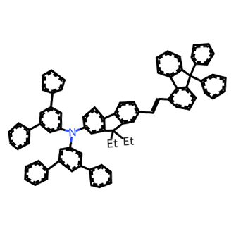 CCC1(CC)c2cc(/C=C/c3cccc4c3-c3ccccc3C4(c3ccccc3)c3ccccc3)ccc2-c2ccc(N(c3cc(-c4ccccc4)cc(-c4ccccc4)c3)c3cc(-c4ccccc4)cc(-c4ccccc4)c3)cc21